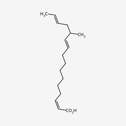 C/C=C/CC(C)/C=C/CCCCCC/C=C\C(=O)O